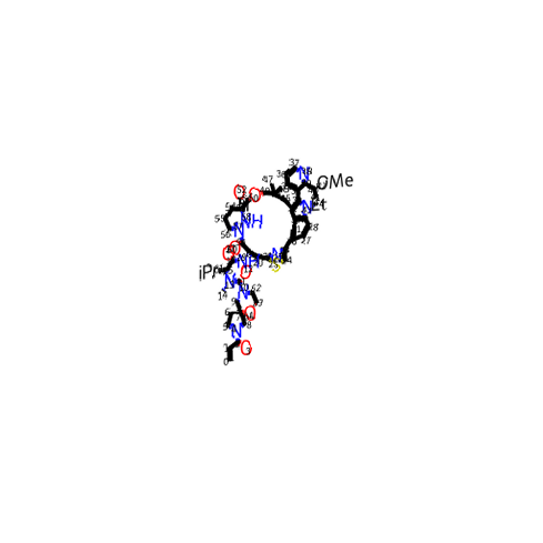 C=CC(=O)N1CC[C@@]2(C1)CN(C(=O)N(C)C(C(=O)N[C@H]1Cc3nc(cs3)-c3ccc4c(c3)c(c(-c3cccnc3[C@H](C)OC)n4CC)CC(C)(C)COC(=O)[C@@H]3CCCN(N3)C1=O)C(C)C)CCO2